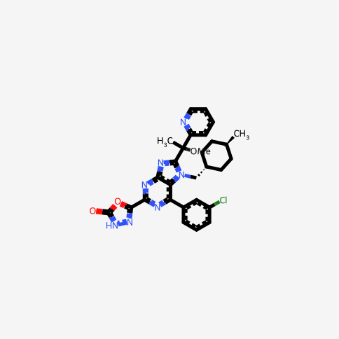 COC(C)(c1ccccn1)c1nc2nc(-c3n[nH]c(=O)o3)nc(-c3cccc(Cl)c3)c2n1C[C@H]1CC[C@H](C)CC1